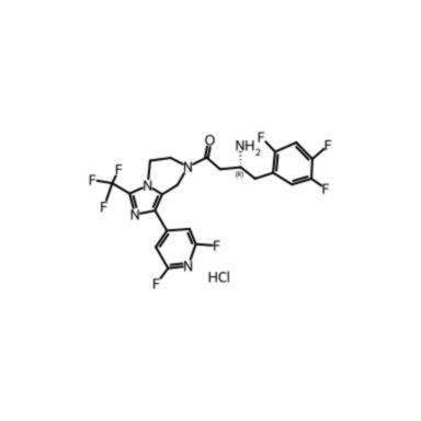 Cl.N[C@@H](CC(=O)N1CCn2c(C(F)(F)F)nc(-c3cc(F)nc(F)c3)c2C1)Cc1cc(F)c(F)cc1F